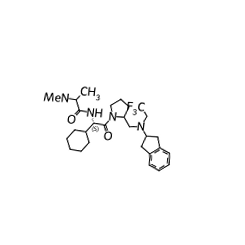 CNC(C)C(=O)N[C@H](C(=O)N1CCCC1CN(CC(F)(F)F)C1Cc2ccccc2C1)C1CCCCC1